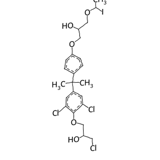 CC(I)OCC(O)COc1ccc(C(C)(C)c2cc(Cl)c(OCC(O)CCl)c(Cl)c2)cc1